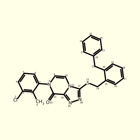 Cc1c(Cl)cccc1-n1ccn2c(SCc3ccccc3Cc3ccccc3)nnc2c1=O